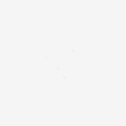 Cc1c(C(N)=O)sc2nccn12